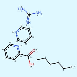 CCCC[CH2][K].N=C(N)N.O=C(O)c1ccccn1.c1ccncc1